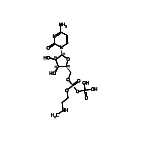 CNCCOP(=O)(OC[C@H]1O[C@@H](n2ccc(N)nc2=O)[C@H](O)[C@@H]1O)OP(=O)(O)O